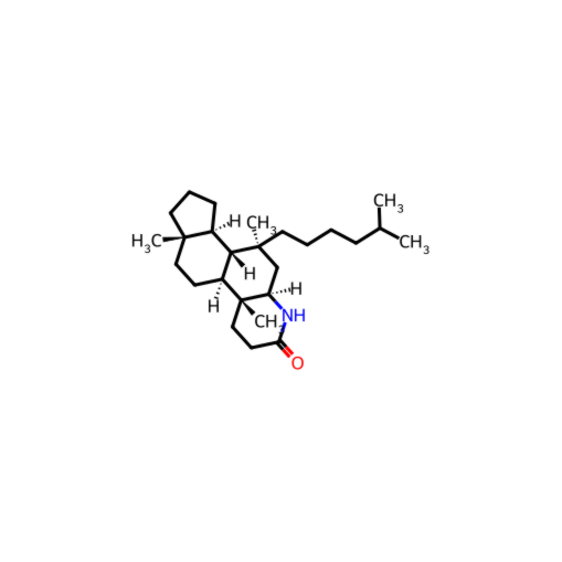 CC(C)CCCC[C@@]1(C)C[C@H]2NC(=O)CC[C@]2(C)[C@H]2CC[C@]3(C)CCC[C@H]3[C@@H]21